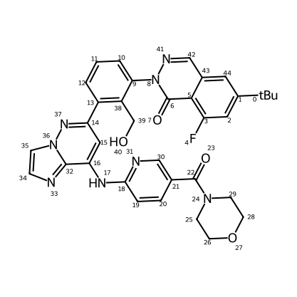 CC(C)(C)c1cc(F)c2c(=O)n(-c3cccc(-c4cc(Nc5ccc(C(=O)N6CCOCC6)cn5)c5nccn5n4)c3CO)ncc2c1